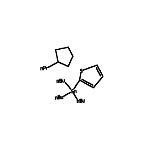 CCCC1CCCC1.CCC[CH2][Sn]([CH2]CCC)([CH2]CCC)[c]1cccs1